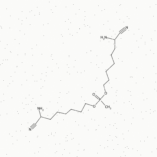 CP(=O)(OCCCCCCC(N)C#N)OCCCCCCC(N)C#N